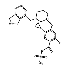 CS(=O)(=O)NC(=O)c1cc(C2CC2)c(O[C@@H]2CCCN(Cc3cccc4c3CNC4)C2)cc1F